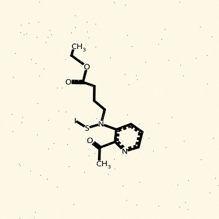 CCOC(=O)CCCN(SI)c1cccnc1C(C)=O